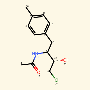 CC(=O)NC(Cc1ccc(C)cc1)[C@H](O)CCl